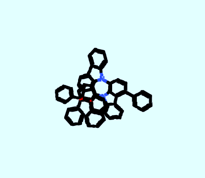 c1ccc(-c2ccccc2-n2c3ccccc3c3c(-c4ccccc4)ccc(-n4c5ccccc5c5ccc([Si](c6ccccc6)(c6ccccc6)c6ccccc6)cc54)c32)cc1